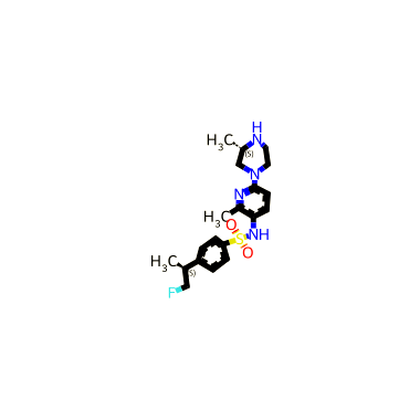 Cc1nc(N2CCN[C@@H](C)C2)ccc1NS(=O)(=O)c1ccc([C@H](C)CF)cc1